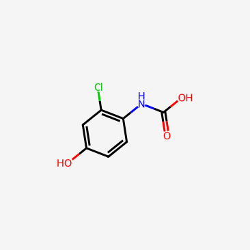 O=C(O)Nc1ccc(O)cc1Cl